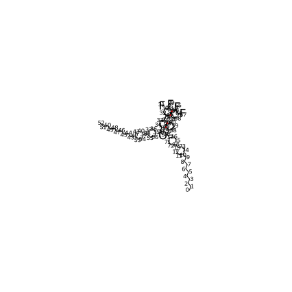 CCCCCCCCCC[C@H]1CC[C@H]([C@H]2CC[C@H](C(OC(c3ccc(-c4ccc(F)c(F)c4)cc3)[C@H]3CC[C@H]([C@H]4CC[C@H](CCCCCCCCCC)CC4)CC3)c3ccc(-c4ccc(F)c(F)c4)cc3)CC2)CC1